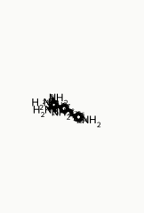 Nc1cc(C2CCC(CCC3CCC(N)CC3)CC2)c(N)c(N)c1N